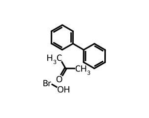 CC(C)=O.OBr.c1ccc(-c2ccccc2)cc1